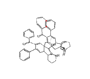 C[C@H](O)CC1(C(=O)C2(C[C@H](C)O)C=C(C(=O)c3ccccc3)C(c3ccccc3)=CC2C2CCCNC2)C=C(C(=O)c2ccccc2)C(c2ccccc2)=CC1C1CCCNC1